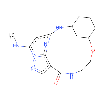 CNc1cc2nc3c(cnn13)C(=O)NCCOC1CCCC(C1)N2